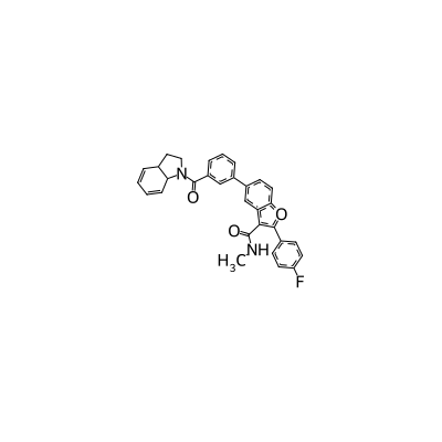 CNC(=O)c1c(-c2ccc(F)cc2)oc2ccc(-c3cccc(C(=O)N4CCC5C=CC=CC54)c3)cc12